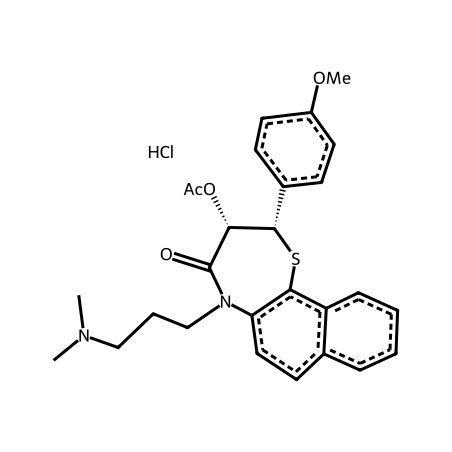 COc1ccc([C@@H]2Sc3c(ccc4ccccc34)N(CCCN(C)C)C(=O)[C@@H]2OC(C)=O)cc1.Cl